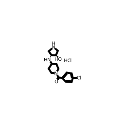 Cl.O=C(c1ccc(Cl)cc1)N1CCC(N[C@@H]2CNC[C@H]2O)CC1